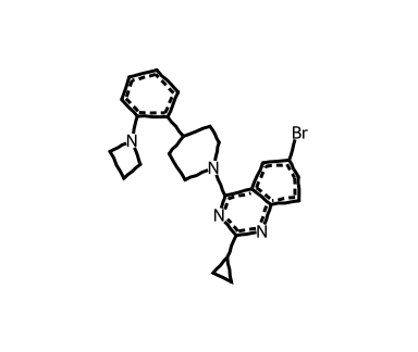 Brc1ccc2nc(C3CC3)nc(N3CCC(c4ccccc4N4CCC4)CC3)c2c1